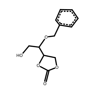 O=C1OCC(C(CO)OCc2ccccc2)O1